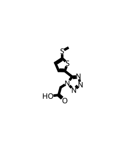 CSc1ccc(-c2nnnn2CC(=O)O)s1